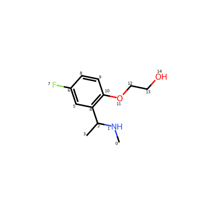 CNC(C)c1cc(F)ccc1OCCO